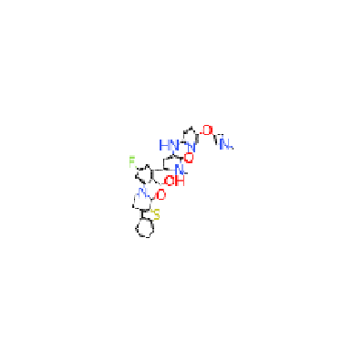 CN1CC(Oc2ccc(Nc3cc(-c4cc(F)cc(N5CCc6c(sc7c6CCCC7)C5=O)c4CO)cn(C)c3=O)nc2)C1